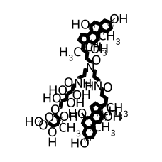 CC(CCC(=O)NCCCN(CCCNC(=O)C(O)C(O)C(O)C(O)COC1OC(OO)C(O)C(C)[C@H]1O)C(=O)CCC(C)C1CCC2C3C(C[C@H](O)[C@]12C)[C@@]1(C)CC[C@@H](O)CC1C[C@H]3O)C1CCC2C3C(C[C@H](O)[C@]12C)[C@@]1(C)CC[C@@H](O)CC1C[C@H]3O